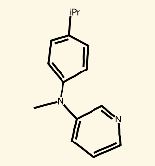 CC(C)c1ccc(N(C)c2cccnc2)cc1